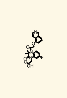 CC1(C)C(=O)N(CC(=O)O)c2cc(F)ccc2N1C(=O)COc1cccc2cnccc12